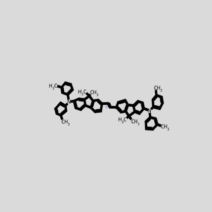 Cc1cccc(N(c2cccc(C)c2)c2ccc3c(c2)C(C)(C)c2cc(/C=C/c4ccc5c(c4)C(C)(C)c4cc(N(c6cccc(C)c6)c6cccc(C)c6)ccc4-5)ccc2-3)c1